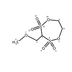 COCC1S(=O)(=O)OCCOS1(=O)=O